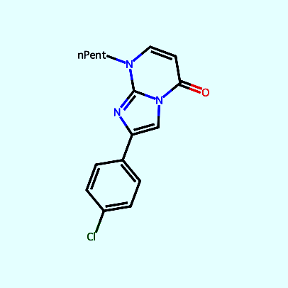 CCCCCn1ccc(=O)n2cc(-c3ccc(Cl)cc3)nc12